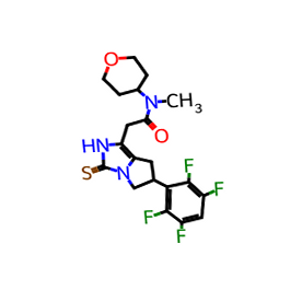 CN(C(=O)Cc1[nH]c(=S)n2c1CC(c1c(F)c(F)cc(F)c1F)C2)C1CCOCC1